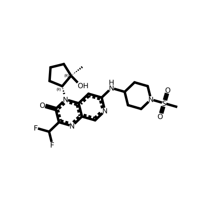 C[C@@]1(O)CCC[C@H]1n1c(=O)c(C(F)F)nc2cnc(NC3CCN(S(C)(=O)=O)CC3)cc21